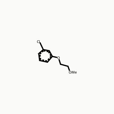 COCCOc1cc[c]c(Cl)c1